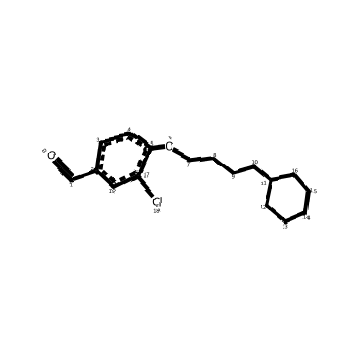 O=Cc1ccc(OCCCCC2CCCCC2)c(Cl)c1